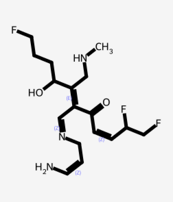 CNC/C(=C(/C=N\C/C=C\N)C(=O)/C=C\C(F)CF)C(O)CCCF